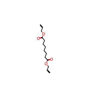 C=CCOC(=O)CCCCCCC(=O)OCC=C